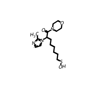 Cc1n[c]cn1C(CCCCCCSO)C(=O)N1CCOCC1